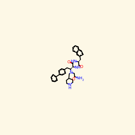 NC(=O)CN(CC1CCNCC1)C(Cc1ccc(-c2ccccc2)cc1)[C@@H]1NC(=O)[C@H](Cc2ccc3ccccc3c2)NC1=O